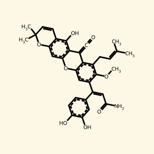 COc1c(/C(=C/C(N)=O)c2ccc(O)c(O)c2)cc2c(c1CC=C(C)C)C(=C=O)c1c(cc3c(c1O)C=CC(C)(C)O3)O2